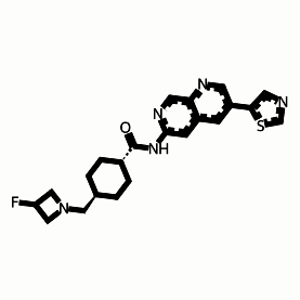 O=C(Nc1cc2cc(-c3cncs3)cnc2cn1)[C@H]1CC[C@H](CN2CC(F)C2)CC1